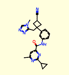 Cc1cc(C(=O)Nc2cccc(C3(Cc4nncn4C)CC(C#N)C3)c2)nc(C2CC2)n1